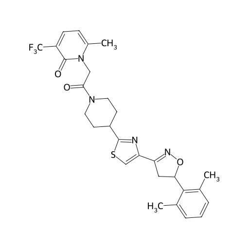 Cc1cccc(C)c1C1CC(c2csc(C3CCN(C(=O)Cn4c(C)ccc(C(F)(F)F)c4=O)CC3)n2)=NO1